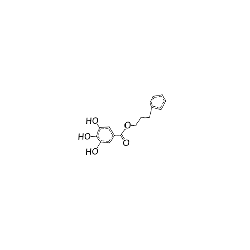 O=C(OCCCc1ccccc1)c1cc(O)c(O)c(O)c1